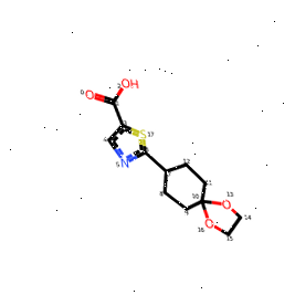 O=C(O)c1cnc(C2CCC3(CC2)OCCO3)s1